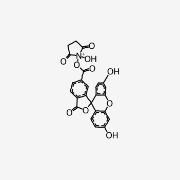 O=C(O[N+]1(O)C(=O)CCC1=O)c1ccc2c(c1)C1(OC2=O)c2ccc(O)cc2Oc2cc(O)ccc21